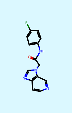 O=C(Cn1cnc2ccncc21)Nc1ccc(F)cc1